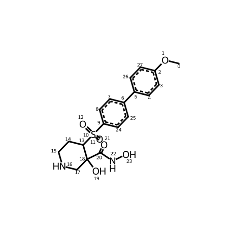 COc1ccc(-c2ccc(S(=O)(=O)C3CCNCC3(O)C(=O)NO)cc2)cc1